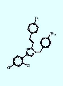 Nc1ccc(Cn2cc(-c3ccc(Cl)cc3Cl)nc2C=Cc2ccc(Br)cc2)cc1